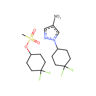 CS(=O)(=O)OC1CCC(F)(F)CC1.O=[N+]([O-])c1cnn(C2CCC(F)(F)CC2)c1